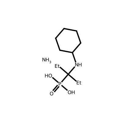 CCC(CC)(NC1CCCCC1)P(=O)(O)O.N